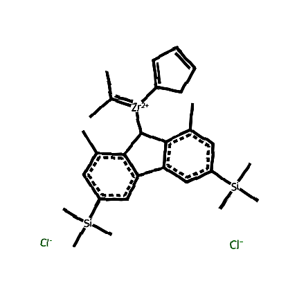 C[C](C)=[Zr+2]([C]1=CC=CC1)[CH]1c2c(C)cc([Si](C)(C)C)cc2-c2cc([Si](C)(C)C)cc(C)c21.[Cl-].[Cl-]